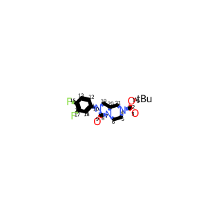 CC(C)(C)OC(=O)N1CCN2C(=O)N(c3ccc(F)c(F)c3)CC2C1